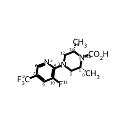 C[C@@H]1CN(c2ncc(C(F)(F)F)cc2F)C[C@H](C)N1C(=O)O